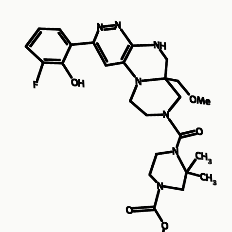 COCC12CNc3nnc(-c4cccc(F)c4O)cc3N1CCN(C(=O)N1CCN(C(=O)OC(C)(C)C)CC1(C)C)C2